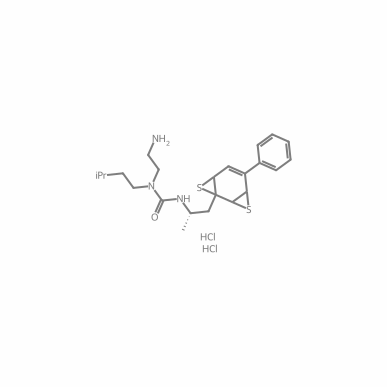 CC(C)CCN(CCN)C(=O)N[C@@H](C)CC12SC1C=C(c1ccccc1)C1SC12.Cl.Cl